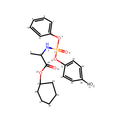 CC(N[P@](=O)(Oc1ccccc1)Oc1ccc([N+](=O)[O-])cc1)C(=O)OC1CCCCC1